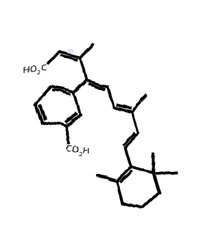 CC(C=CC1=C(C)CCCC1(C)C)=CC=C(/C(C)=C\C(=O)O)c1cccc(C(=O)O)c1